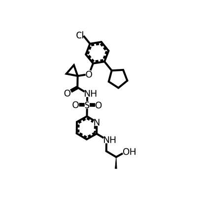 C[C@H](O)CNc1cccc(S(=O)(=O)NC(=O)C2(Oc3cc(Cl)ccc3C3CCCC3)CC2)n1